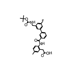 Cc1ccc(NC(=O)c2cccc(-c3cc(F)cc(CNC(=O)OC(C)(C)C)c3)c2)c(CC(=O)O)c1